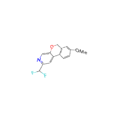 COc1ccc2c(c1)COc1cnc(C(F)F)cc1-2